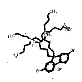 Br.Br.CCCCP(CCCC)CCC(C)CCCC1(CCCC(C)CCP(CCCC)CCCC)c2cc(Br)ccc2-c2ccc(Br)cc21